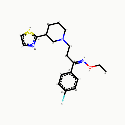 CCON=C(CCN1CCCC(c2nccs2)C1)c1ccc(F)cc1